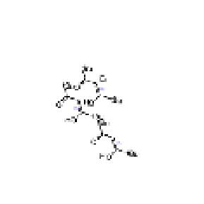 CC(C)(C)C(=O)/C=C(\O)C(C)(C)C.CC(C)(C)C(=O)/C=C(\O)C(C)(C)C.CC(C)(C)C(=O)/C=C(\O)C(C)(C)C.[Er]